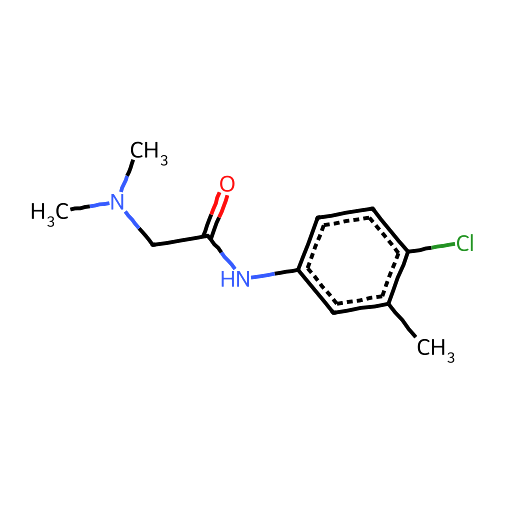 Cc1cc(NC(=O)CN(C)C)ccc1Cl